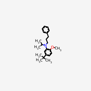 COc1ccc(C(C)(C)C)cc1N(CCCc1ccccc1)C(C)C